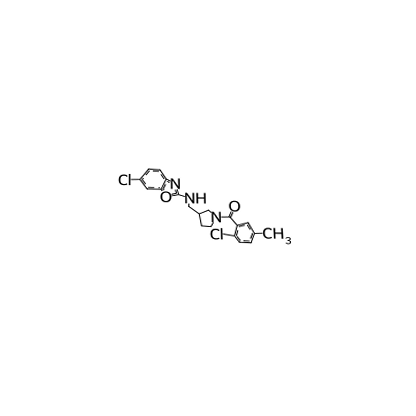 Cc1ccc(Cl)c(C(=O)N2CCC(CNc3nc4ccc(Cl)cc4o3)C2)c1